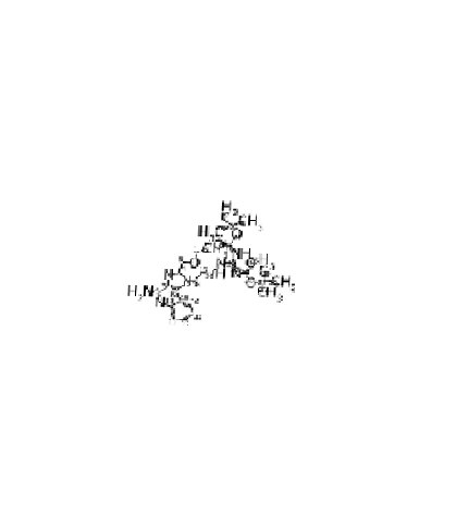 CCOCc1nc2c(N)nc3ccccc3c2n1CCCNC(=NC(=O)OC(C)(C)C)NC(=O)OC(C)(C)C